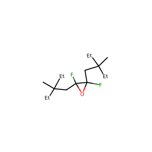 CCC(C)(CC)CC1(F)OC1(F)CC(C)(CC)CC